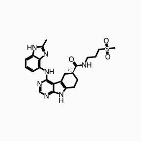 Cc1nc2c(Nc3ncnc4[nH]c5c(c34)C[C@@H](C(=O)NCCCS(C)(=O)=O)CC5)cccc2[nH]1